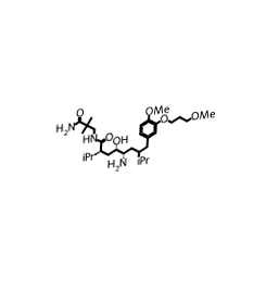 COCCCOc1cc(CC(C[C@H](N)[C@@H](O)C[C@H](C(=O)NCC(C)(C)C(N)=O)C(C)C)C(C)C)ccc1OC